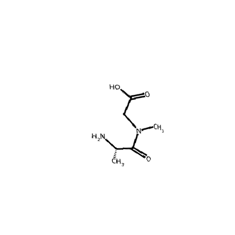 C[C@H](N)C(=O)N(C)CC(=O)O